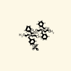 C=CC[N+](CC=C)(Cc1ccccc1)C(C)c1ccccc1.C=CC[N+](CC=C)(Cc1ccccc1)C(C)c1ccccc1.O=S(=O)([O-])[O-]